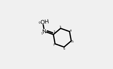 ON=C1CC[CH]CC1